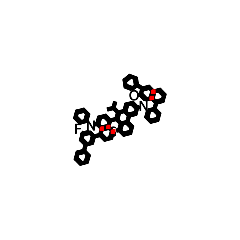 CC(C)c1c2c3c(cccc3c3cc(N(c4ccccc4-c4ccccc4)c4cccc5c4oc4ccccc45)ccc13)Sc1cc(N(c3ccccc3)c3c(F)cc(-c4ccccc4)cc3-c3ccccc3)ccc1-2